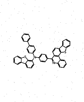 c1ccc(-c2ccc(N(c3ccc(-c4nc5ccccc5c5c4ccc4c6ccccc6sc45)cc3)c3cccc4c3sc3ccccc34)cc2)cc1